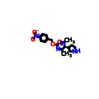 CNC(C(C)=NC(=O)OCc1ccc([N+](=O)[O-])cc1)[C@H]1CCNC1